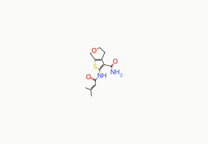 CC(C)=CC(=O)Nc1sc2c(c1C(N)=O)CCOC2